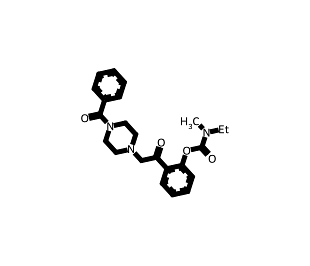 CCN(C)C(=O)Oc1ccccc1C(=O)CN1CCN(C(=O)c2ccccc2)CC1